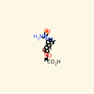 C=C(C)[C@@H]1CC[C@]2(NC[C@H](CN)N3CCS(=O)(=O)CC3)CC[C@]3(C)[C@H](CC[C@@H]4[C@@]5(C)CC[C@H](OC(=O)[C@H]6[C@@H](C(=O)O)C6(C)C)C(C)(C)[C@@H]5CC[C@]43C)[C@@H]12